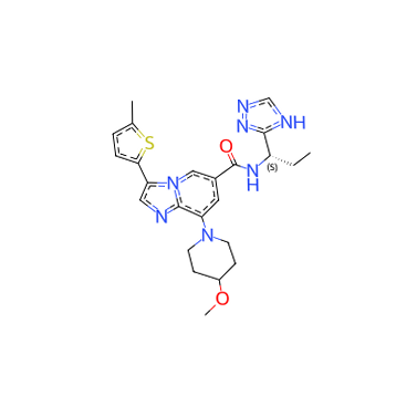 CC[C@H](NC(=O)c1cc(N2CCC(OC)CC2)c2ncc(-c3ccc(C)s3)n2c1)c1nnc[nH]1